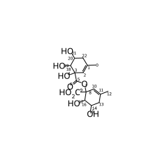 CC1=CC(O)(C(=O)OC2(C(=O)O)C=C(C)CC(O)C2O)C(O)C(O)C1